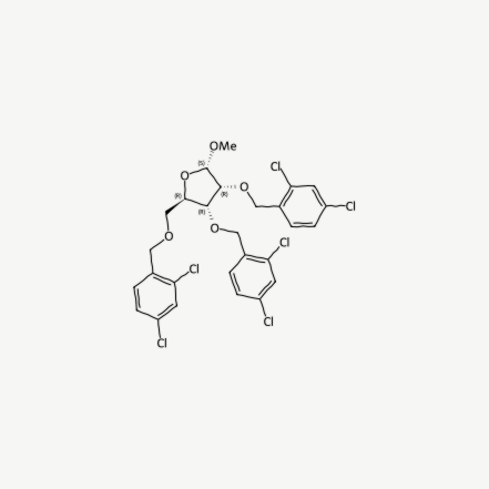 CO[C@H]1O[C@H](COCc2ccc(Cl)cc2Cl)[C@@H](OCc2ccc(Cl)cc2Cl)[C@H]1OCc1ccc(Cl)cc1Cl